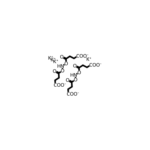 O=C([O-])CCC(=O)ONOC(=O)CCC(=O)[O-].O=C([O-])CCC(=O)ONOC(=O)CCC(=O)[O-].[K+].[K+].[K+].[K+]